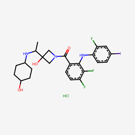 CC(NC1CCC(O)CC1)C1(O)CN(C(=O)c2ccc(F)c(F)c2Nc2ccc(I)cc2F)C1.Cl